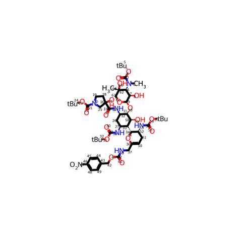 CN(C(=O)OC(C)(C)C)[C@@H]1[C@@H](O)[C@@H](O[C@H]2[C@H](NC(=O)C3(O)CCN(C(=O)OC(C)(C)C)C3)C[C@H](NC(=O)OC(C)(C)C)C([C@H]3OC(CNC(=O)OCc4ccc([N+](=O)[O-])cc4)=CC[C@H]3NC(=O)OC(C)(C)C)[C@@H]2O)OC[C@]1(C)O